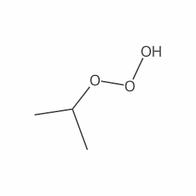 CC(C)OOO